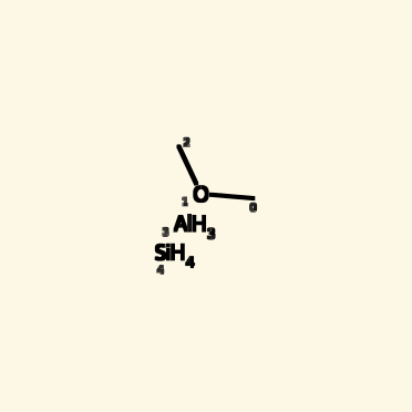 COC.[AlH3].[SiH4]